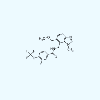 COCc1ccc2ncn(C)c2c1CNC(=O)c1ccc(OC(F)(F)F)c(F)c1